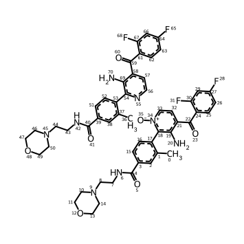 Cc1cc(C(=O)NCCN2CCOCC2)ccc1-c1c(N)c(C(=O)c2ccc(F)cc2F)cc[n+]1[O-].Cc1cc(C(=O)NCCN2CCOCC2)ccc1-c1nccc(C(=O)c2ccc(F)cc2F)c1N